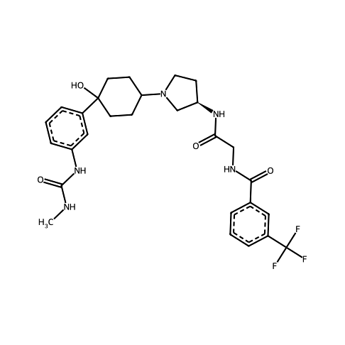 CNC(=O)Nc1cccc(C2(O)CCC(N3CC[C@@H](NC(=O)CNC(=O)c4cccc(C(F)(F)F)c4)C3)CC2)c1